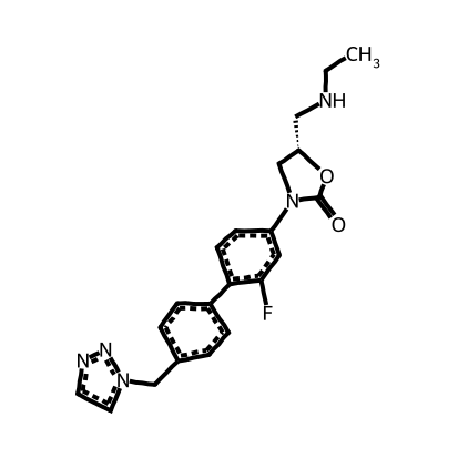 CCNC[C@H]1CN(c2ccc(-c3ccc(Cn4ccnn4)cc3)c(F)c2)C(=O)O1